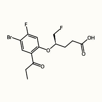 CCC(=O)c1cc(Br)c(F)cc1O[C@@H](CF)CCC(=O)O